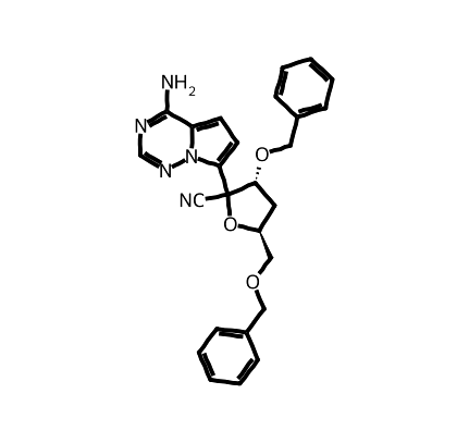 N#CC1(c2ccc3c(N)ncnn23)O[C@H](COCc2ccccc2)C[C@H]1OCc1ccccc1